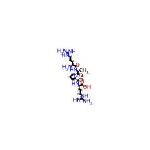 C[C@H](NC(=O)[C@@H](N)CCCNC(=N)N)C(=O)N1CCC[C@H]1C(=O)N[C@@H](CCCNC(=N)N)C(=O)O